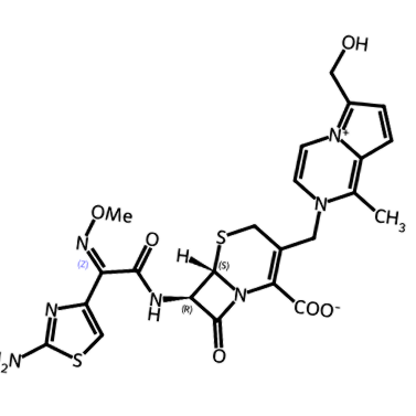 CO/N=C(\C(=O)N[C@@H]1C(=O)N2C(C(=O)[O-])=C(Cn3cc[n+]4c(CO)ccc-4c3C)CS[C@@H]12)c1csc(N)n1